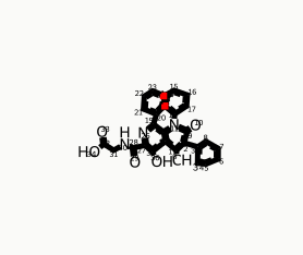 Cc1c(-c2ccccc2)c(=O)n(-c2ccccc2)c2c(-c3cccnc3)nc(C(=O)NCC(=O)O)c(O)c12